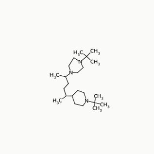 CC(CCC(C)N1CCN(C(C)(C)C)CC1)C1CCN(C(C)(C)C)CC1